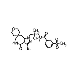 CCc1nn(CC(C)(C)COC(=O)c2cccc(S(C)(=O)=O)c2)c2c1C(=O)NCC1(CCOCC1)C2